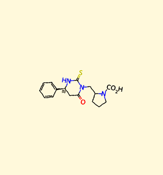 O=C1C[C@@H](c2ccccc2)NC(=S)N1CC1CCCN1C(=O)O